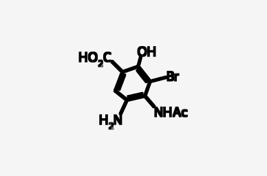 CC(=O)Nc1c(N)cc(C(=O)O)c(O)c1Br